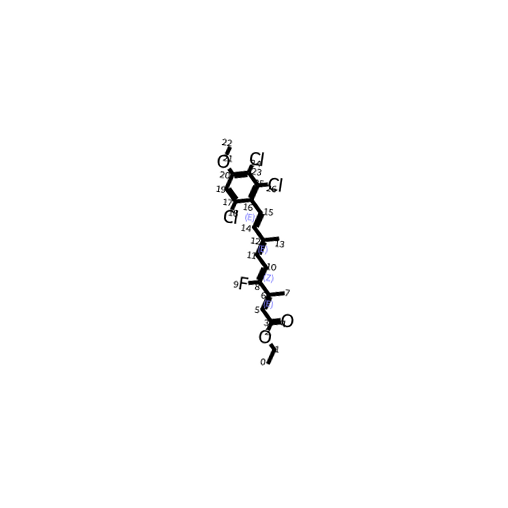 CCOC(=O)/C=C(C)/C(F)=C/C=C(C)/C=C/c1c(Cl)cc(OC)c(Cl)c1Cl